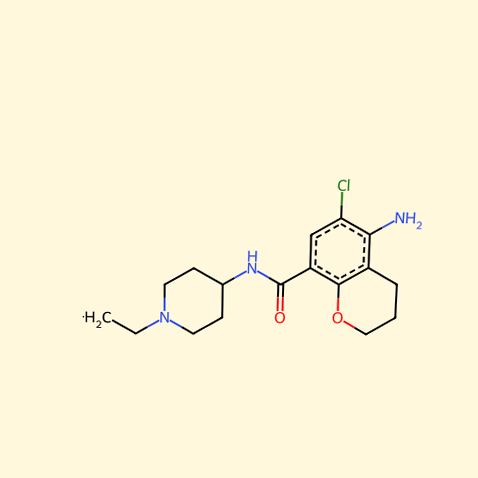 [CH2]CN1CCC(NC(=O)c2cc(Cl)c(N)c3c2OCCC3)CC1